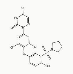 O=c1cnn(-c2cc(Cl)c(Oc3ccc(O)c(S(=O)(=O)N4CCCC4)c3)c(Cl)c2)c(=O)[nH]1